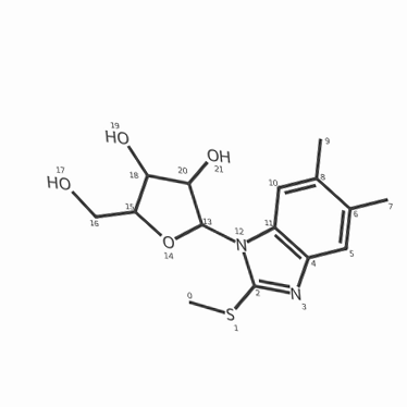 CSc1nc2cc(C)c(C)cc2n1C1OC(CO)C(O)C1O